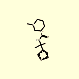 CN1CCC[C@H](C(=O)NC(C)(C)c2ccsc2)C1